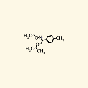 CCO/N=C(\COC(C)C)c1ccc(C)cc1